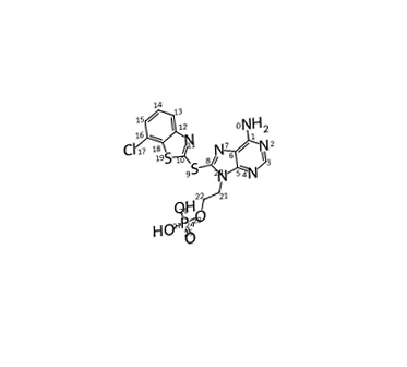 Nc1ncnc2c1nc(Sc1nc3cccc(Cl)c3s1)n2CCOP(=O)(O)O